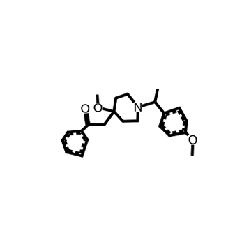 COc1ccc(C(C)N2CCC(CC(=O)c3ccccc3)(OC)CC2)cc1